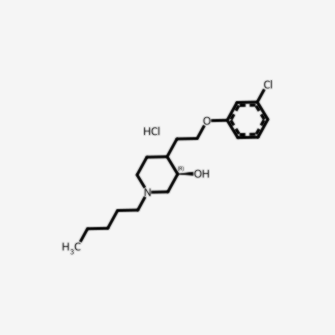 CCCCCN1CCC(CCOc2cccc(Cl)c2)[C@@H](O)C1.Cl